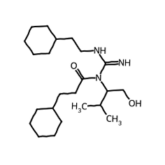 CC(C)C(CO)N(C(=N)NCCC1CCCCC1)C(=O)CCC1CCCCC1